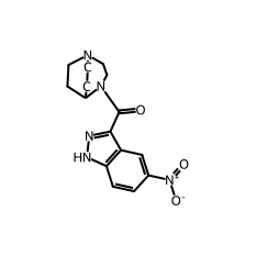 O=C(c1n[nH]c2ccc([N+](=O)[O-])cc12)N1CCN2CCC1CC2